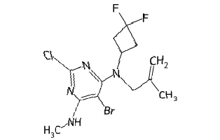 C=C(C)CN(c1nc(Cl)nc(NC)c1Br)C1CC(F)(F)C1